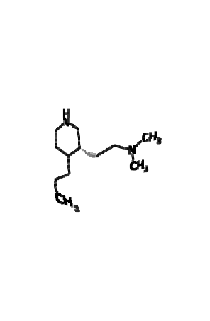 CCCC1CCNC[C@@H]1CCN(C)C